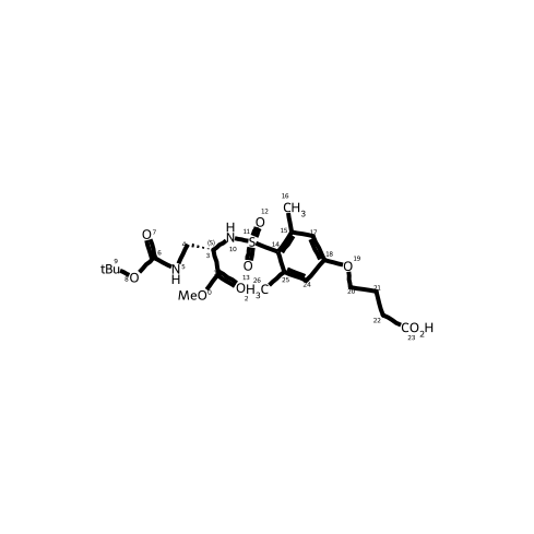 COC(=O)[C@H](CNC(=O)OC(C)(C)C)NS(=O)(=O)c1c(C)cc(OCCCC(=O)O)cc1C